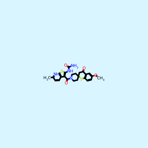 COc1ccc2c(c1)C(=O)CC1(CCN(C(=O)c3c(/C=C\C(C)=N)csc3NC(N)=O)CC1)S2